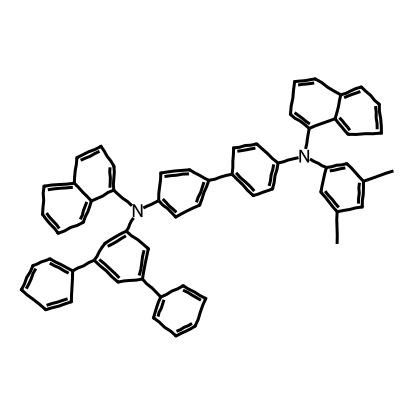 Cc1cc(C)cc(N(c2ccc(-c3ccc(N(c4cc(-c5ccccc5)cc(-c5ccccc5)c4)c4cccc5ccccc45)cc3)cc2)c2cccc3ccccc23)c1